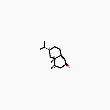 CC(C)[C@@H]1CCC2=CC(=O)C[C@@H](C)[C@]2(C)C1